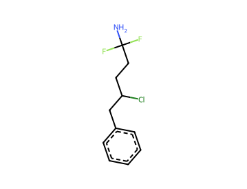 NC(F)(F)CCC(Cl)Cc1ccccc1